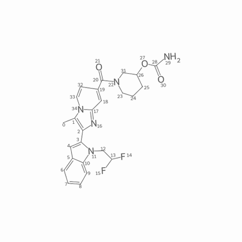 Cc1c(-c2cc3ccccc3n2CC(F)F)nc2cc(C(=O)N3CCCC(OC(N)=O)C3)ccn12